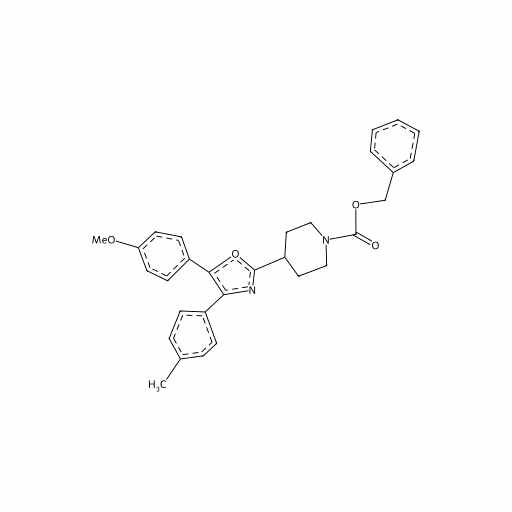 COc1ccc(-c2oc(C3CCN(C(=O)OCc4ccccc4)CC3)nc2-c2ccc(C)cc2)cc1